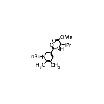 CCCCN1CC(C(=O)NC(C(=O)OC)C(C)C)=CC(C)=C1C